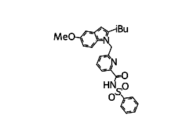 CCC(C)c1cc2cc(OC)ccc2n1Cc1cccc(C(=O)NS(=O)(=O)c2ccccc2)n1